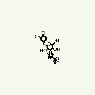 CCCC(=O)c1cn(C2[C@@H](O)C(CO)O[C@H](Sc3ccc(Cl)c(Cl)c3)[C@@H]2O)nn1